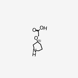 O=C(O)CO[C@H]1CCCNC1